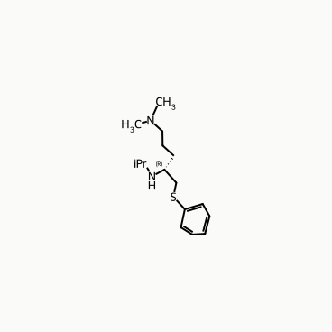 CC(C)N[C@H](CCCN(C)C)CSc1ccccc1